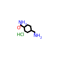 Cl.NCC1CCC(C(N)=O)CC1